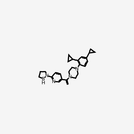 C=C(c1ccc(N2BCCC2)nc1)N1CCN(c2ccc(C3CC3)cc2C2CC2)CC1